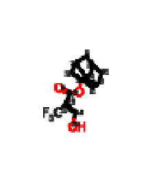 O=C(OC12CC3CC(CC(C3)C1)C2)C(=CO)C(F)(F)F